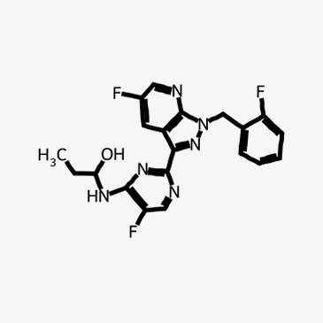 CCC(O)Nc1nc(-c2nn(Cc3ccccc3F)c3ncc(F)cc23)ncc1F